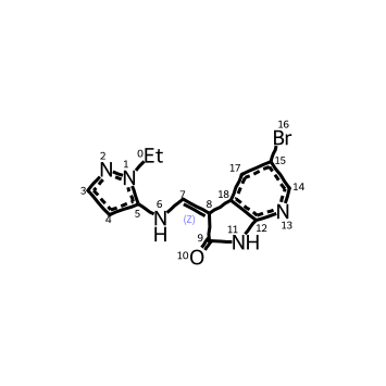 CCn1nccc1N/C=C1\C(=O)Nc2ncc(Br)cc21